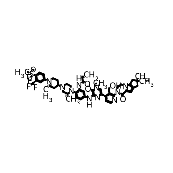 C=CC(=O)Nc1cc(Nc2nc(-c3ccnc(N4CCn5c(cc6c5CC(C)(C)C6)C4=O)c3CO)cn(C)c2=O)ccc1N1CCN(C2CCN(c3ccc(S(C)(=O)=O)c(C(F)(F)F)c3)[C@@H](C)C2)C[C@@H]1C